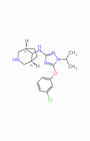 CC(C)n1nc(NC2[C@@H]3CC[C@H]2CNC3)nc1Oc1cccc(Cl)c1